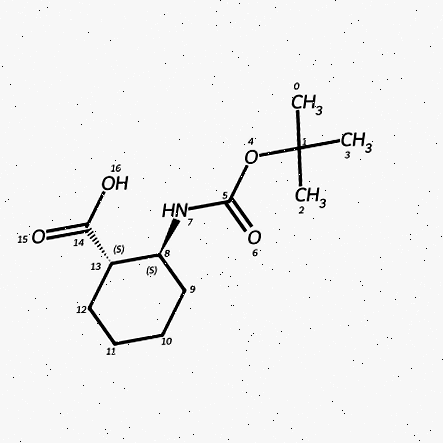 CC(C)(C)OC(=O)N[C@H]1CCCC[C@@H]1C(=O)O